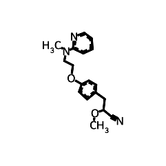 COC(C#N)Cc1ccc(OCCN(C)c2ccccn2)cc1